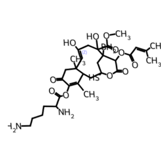 BC12CC(S)(CC3C(C)=C(OC(=O)C(N)CCCCN)C(=O)CC3(C)/C=C(\O)CC1(O)C(=O)OC)OC(=O)C2OC(=O)C=C(C)C